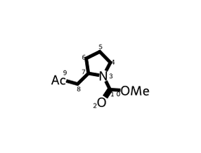 COC(=O)N1CCCC1CC(C)=O